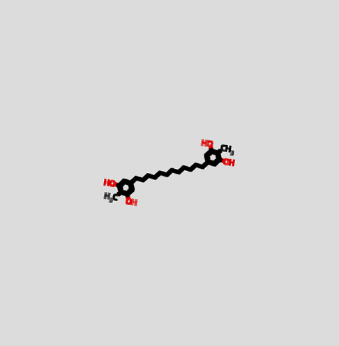 Cc1c(O)cc(CCCCCCCCCCCCc2cc(O)c(C)c(O)c2)cc1O